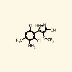 N#Cc1n[nH]c(-c2c(Cl)cc(C(F)(F)F)c(N)c2Cl)c1SC(F)(F)F